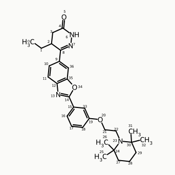 CCC1CC(=O)NN=C1c1ccc2nc(-c3cccc(OCCN4C(C)(C)CCCC4(C)C)c3)oc2c1